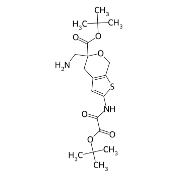 CC(C)(C)OC(=O)C(=O)Nc1cc2c(s1)COC(CN)(C(=O)OC(C)(C)C)C2